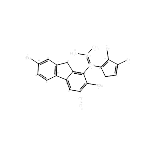 CCC1=CC[C]([Zr+2]([c]2c(C(C)(C)C)ccc3c2Cc2cc(C(C)(C)C)ccc2-3)=[Si](C)C)=C1CC.[Cl-].[Cl-]